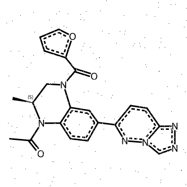 CC(=O)N1c2ccc(-c3ccc4nncn4n3)cc2N(C(=O)c2ccco2)C[C@@H]1C